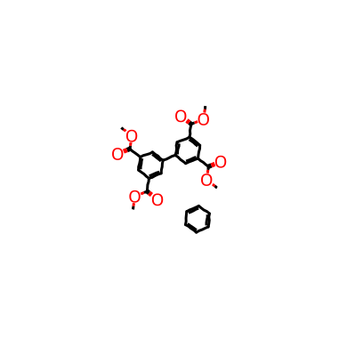 COC(=O)c1cc(C(=O)OC)cc(-c2cc(C(=O)OC)cc(C(=O)OC)c2)c1.c1ccccc1